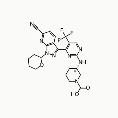 N#Cc1ccc2c(-c3nc(N[C@H]4CCCN(C(=O)O)C4)ncc3C(F)(F)F)nn(C3CCCCO3)c2n1